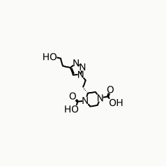 O=C(O)N1CCN(C(=O)O)[C@H](CCn2cc(CCO)nn2)C1